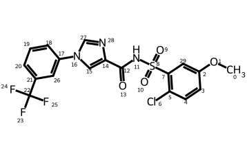 COc1ccc(Cl)c(S(=O)(=O)NC(=O)c2cn(-c3cccc(C(F)(F)F)c3)cn2)c1